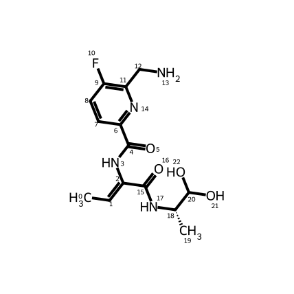 C/C=C(\NC(=O)c1ccc(F)c(CN)n1)C(=O)N[C@@H](C)C(O)O